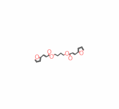 O=C(C=Cc1ccco1)OCCCCOC(=O)C=Cc1ccco1